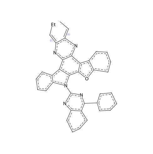 C/C=c1/nc2c(n/c1=C/CC)c1c3ccccc3n(-c3nc(-c4ccccc4)c4ccccc4n3)c1c1oc3ccccc3c21